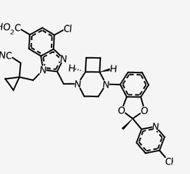 C[C@]1(c2ccc(Cl)cn2)Oc2cccc(N3CCN(Cc4nc5c(Cl)cc(C(=O)O)cc5n4CC4(CC#N)CC4)[C@H]4CC[C@@H]43)c2O1